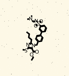 CCCCc1nc(SC)c(C(=O)OCC)n1Cc1ccc(-c2cccc(S(=O)(=O)N=CN(C)C)c2)cc1